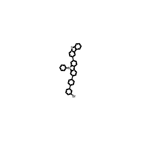 Brc1cccc(-c2ccc(-c3ccc4c5ccc(-c6ccc7sc8ccccc8c7c6)cc5n(-c5ccccc5)c4c3)cc2)c1